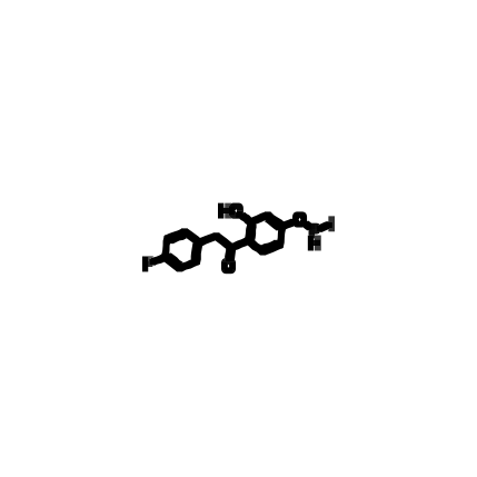 O=C(Cc1ccc(F)cc1)c1ccc(OPI)cc1O